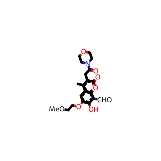 COCCOc1cc2c(C)c(CC(=O)N3CCOCC3)c(=O)oc2c(C=O)c1O